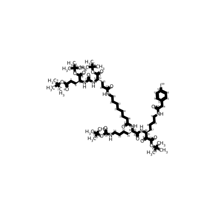 CC(C)(C)OC(=O)CC[C@H](NC(=O)N[C@@H](CCC(=O)NCCCCCCCC(=O)N[C@@H](CCCCNC(=O)OC(C)(C)C)C(=O)N[C@@H](CCCCNC(=O)Cc1ccc(I)cc1)C(=O)C(=O)OC(C)(C)C)C(=O)OC(C)(C)C)C(=O)OC(C)(C)C